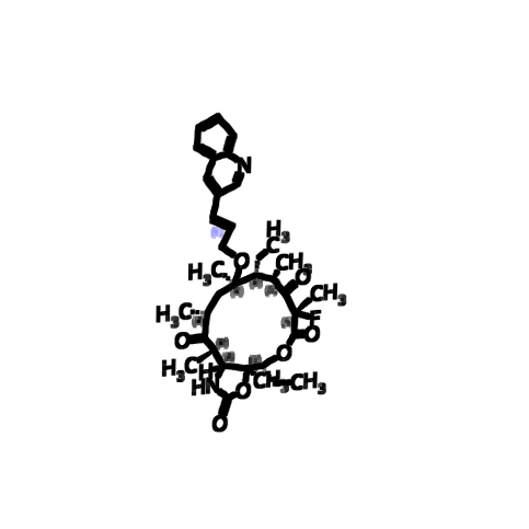 CC[C@@H]1[C@@H](C)C(=O)[C@](C)(F)C(=O)O[C@H](CC)[C@@]2(C)OC(=O)N[C@@H]2[C@@H](C)C(=O)[C@H](C)C[C@@]1(C)OC/C=C/c1cnc2ccccc2c1